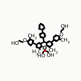 Cc1cc(-c2cc(C)c(OCCO)c(C(c3ccc(-c4ccccc4)cc3)c3cc(-c4ccc(OCCO)c(C)c4)cc(C)c3OCCO)c2)ccc1OCCO